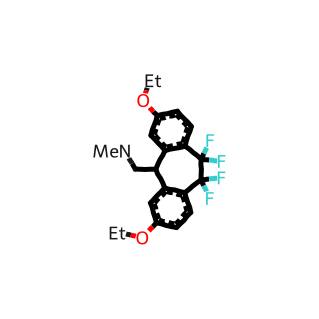 CCOc1ccc2c(c1)C(CNC)c1cc(OCC)ccc1C(F)(F)C2(F)F